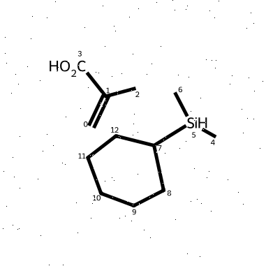 C=C(C)C(=O)O.C[SiH](C)C1CCCCC1